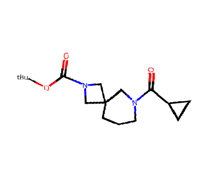 CC(C)(C)OC(=O)N1CC2(CCCN(C(=O)C3CC3)C2)C1